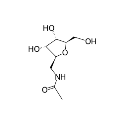 CC(=O)NC[C@@H]1O[C@H](CO)[C@@H](O)[C@H]1O